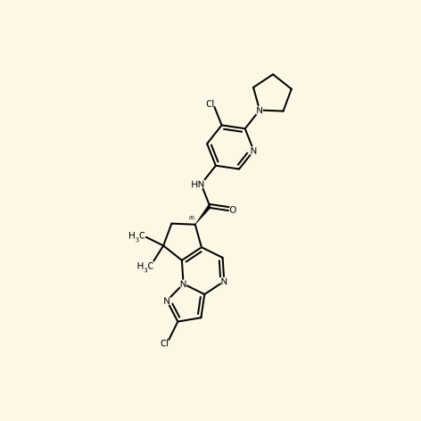 CC1(C)C[C@@H](C(=O)Nc2cnc(N3CCCC3)c(Cl)c2)c2cnc3cc(Cl)nn3c21